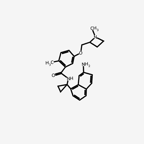 Cc1ccc(OCC2CCN2C)cc1C(=O)NC1(c2cccc3ccc(N)cc23)CC1